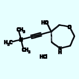 C[Si](C)(C)C#CC1(O)CNCCOC1.Cl